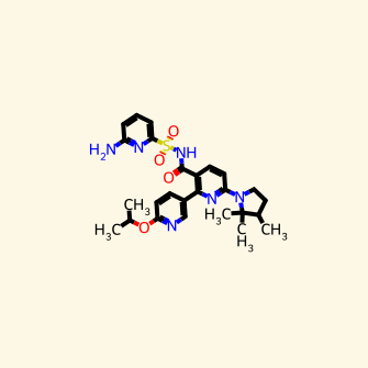 CC(C)Oc1ccc(-c2nc(N3CCC(C)C3(C)C)ccc2C(=O)NS(=O)(=O)c2cccc(N)n2)cn1